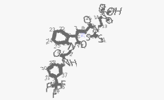 O=C(CN1C(=O)C(/C=C2\SC(=S)N(CCS(=O)(=O)O)C2=O)c2ccccc21)Nc1cccc(C(F)(F)F)c1